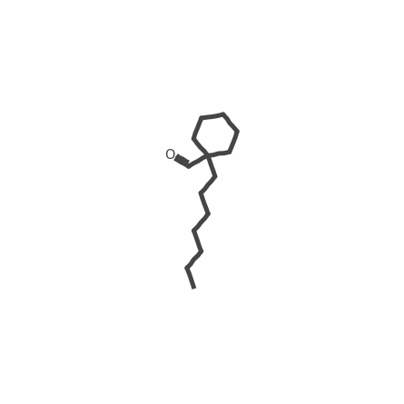 CCCCCCCC1(C=O)CCCCC1